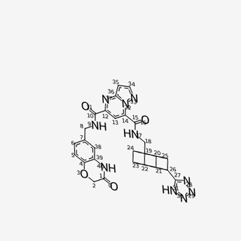 O=C1COc2ccc(CNC(=O)c3cc(C(=O)NCC45C6C7C4C4C5C6C74c4nnn[nH]4)n4nccc4n3)cc2N1